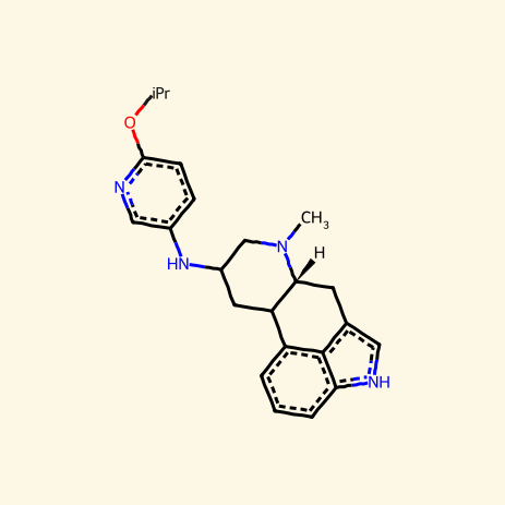 CC(C)Oc1ccc(NC2CC3c4cccc5[nH]cc(c45)C[C@H]3N(C)C2)cn1